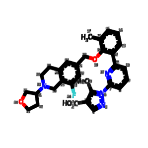 COc1c(C(=O)O)cnn1-c1cccc(-c2cccc(C)c2OCc2cc(F)c3c(c2)CCN(C2CCOC2)C3)n1